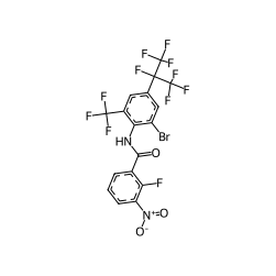 O=C(Nc1c(Br)cc(C(F)(C(F)(F)F)C(F)(F)F)cc1C(F)(F)F)c1cccc([N+](=O)[O-])c1F